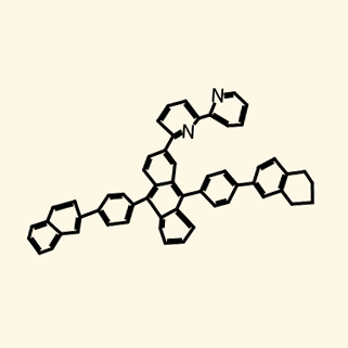 c1ccc(-c2cccc(-c3ccc4c(-c5ccc(-c6ccc7ccccc7c6)cc5)c5ccccc5c(-c5ccc(-c6ccc7c(c6)CCCC7)cc5)c4c3)n2)nc1